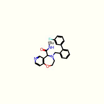 CC(C)(C)NC(=O)C1c2cnccc2OCCN1Cc1ccccc1-c1cccc(F)c1